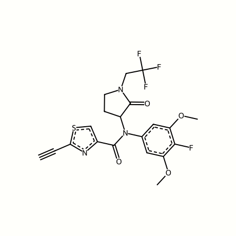 C#Cc1nc(C(=O)N(c2cc(OC)c(F)c(OC)c2)C2CCN(CC(F)(F)F)C2=O)cs1